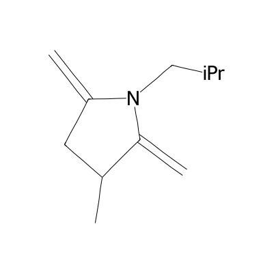 C=C1CC(C)C(=C)N1CC(C)C